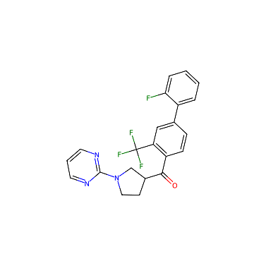 O=C(c1ccc(-c2ccccc2F)cc1C(F)(F)F)C1CCN(c2ncccn2)C1